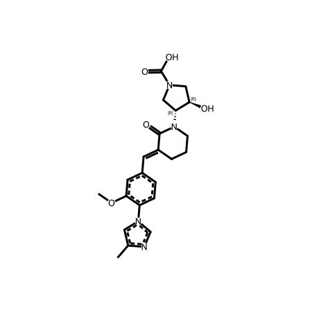 COc1cc(C=C2CCCN([C@@H]3CN(C(=O)O)C[C@H]3O)C2=O)ccc1-n1cnc(C)c1